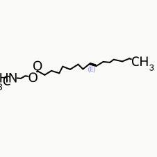 CCCCCC/C=C/CCCCCCCC(=O)OCCNC